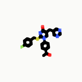 CC(=O)c1ccc(-n2cc(Cc3cncnc3)c(=O)nc2SCc2ccc(F)cc2)cc1